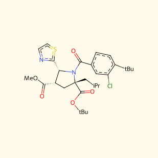 COC(=O)[C@H]1C[C@@](CC(C)C)(C(=O)OC(C)(C)C)N(C(=O)c2ccc(C(C)(C)C)c(Cl)c2)[C@H]1c1nccs1